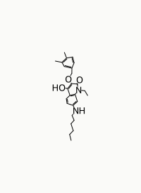 CCCCCCNc1ccc2c(O)c(OCc3ccc(C)c(C)c3)c(=O)n(CC)c2c1